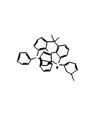 CC1C=CC=C(P(=O)(c2ccccc2)c2cccc3c2Oc2c(P(c4ccccc4)c4ccccc4)cccc2C3(C)C)C1